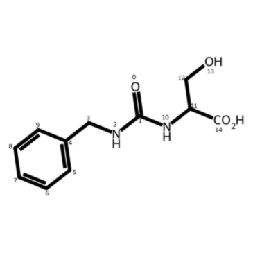 O=C(NCc1ccccc1)NC(CO)C(=O)O